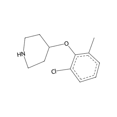 Cc1cccc(Cl)c1OC1CCNCC1